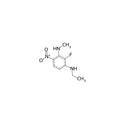 CCNc1ccc([N+](=O)[O-])c(NC)c1F